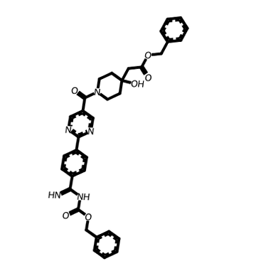 N=C(NC(=O)OCc1ccccc1)c1ccc(-c2ncc(C(=O)N3CCC(O)(CC(=O)OCc4ccccc4)CC3)cn2)cc1